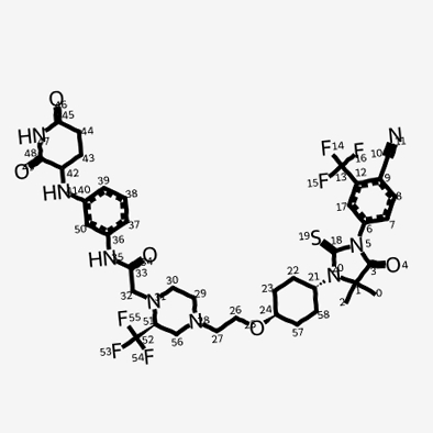 CC1(C)C(=O)N(c2ccc(C#N)c(C(F)(F)F)c2)C(=S)N1[C@H]1CC[C@H](OCCN2CCN(CC(=O)Nc3cccc(NC4CCC(=O)NC4=O)c3)[C@H](C(F)(F)F)C2)CC1